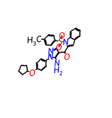 Cc1ccc(S(=O)(=O)n2c(C(=O)c3cnn(-c4ccc(OC5CCCC5)cc4)c3N)cc3ccccc32)cc1